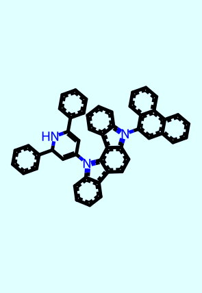 C1=C(c2ccccc2)NC(c2ccccc2)C=C1n1c2ccccc2c2ccc3c(c4ccccc4n3-c3cc4ccccc4c4ccccc34)c21